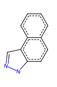 C1=N[N]c2ccc3ccccc3c21